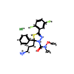 CON(C)C(=O)N1N=C(c2cc(F)ccc2F)SC1(CCCN)c1ccccc1.Cl